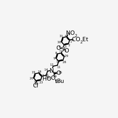 CCOC(=O)c1cc(S(=O)(=O)c2ccc(CCN(C[C@H](O)c3cccc(Cl)c3)C(=O)OC(C)(C)C)cc2)ccc1[N+](=O)[O-]